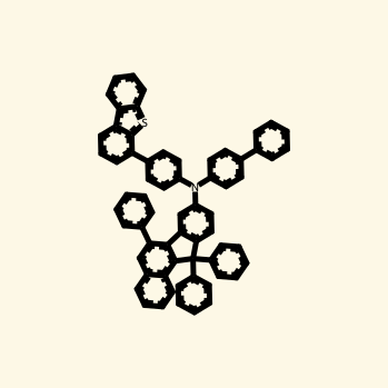 c1ccc(-c2ccc(N(c3ccc(-c4cccc5c4sc4ccccc45)cc3)c3ccc4c(c3)-c3c(-c5ccccc5)cc5ccccc5c3C4(c3ccccc3)c3ccccc3)cc2)cc1